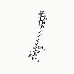 CC(/C=C/CCCCCCCOc1ccc2cc(C(F)(F)F)ccc2n1)=C\C(=O)NCC(C)C